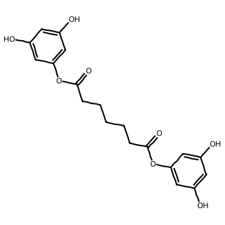 O=C(CCCCCC(=O)Oc1cc(O)cc(O)c1)Oc1cc(O)cc(O)c1